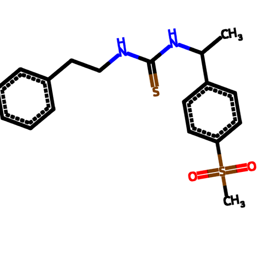 CC(NC(=S)NCCc1ccccc1)c1ccc(S(C)(=O)=O)cc1